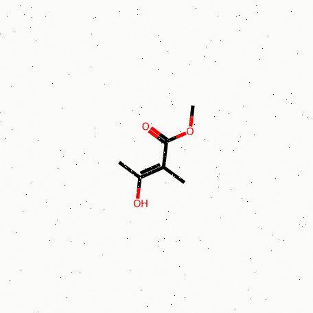 COC(=O)/C(C)=C(\C)O